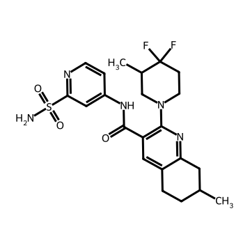 CC1CCc2cc(C(=O)Nc3ccnc(S(N)(=O)=O)c3)c(N3CCC(F)(F)C(C)C3)nc2C1